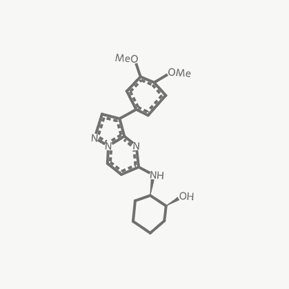 COc1ccc(-c2cnn3ccc(N[C@@H]4CCCC[C@@H]4O)nc23)cc1OC